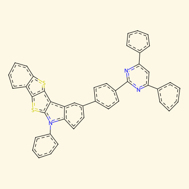 c1ccc(-c2cc(-c3ccccc3)nc(-c3ccc(-c4ccc5c(c4)c4c6sc7ccccc7c6sc4n5-c4ccccc4)cc3)n2)cc1